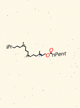 CCCCCC(=O)OC/C=C(\C)CCC[C@H](C)CCC[C@H](C)CCCC(C)C